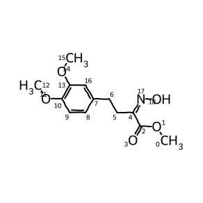 COC(=O)C(CCc1ccc(OC)c(OC)c1)=NO